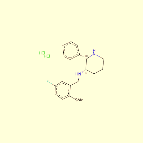 CSc1ccc(F)cc1CN[C@H]1CCCN[C@H]1c1ccccc1.Cl.Cl